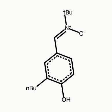 CCCCc1cc(C=[N+]([O-])C(C)(C)C)ccc1O